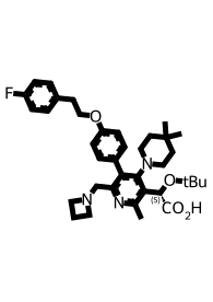 Cc1nc(CN2CCC2)c(-c2ccc(OCCc3ccc(F)cc3)cc2)c(N2CCC(C)(C)CC2)c1[C@H](OC(C)(C)C)C(=O)O